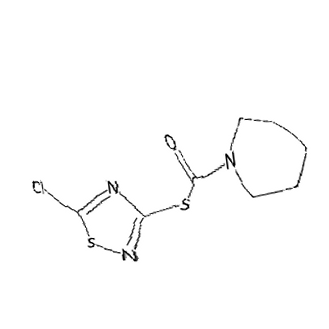 O=C(Sc1nsc(Cl)n1)N1CCCCC1